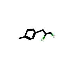 Cc1ccc(CC(Cl)CCl)cc1